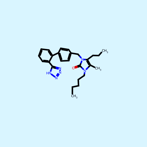 CCCCCn1c(C)c(CCC)n(Cc2ccc(-c3ccccc3-c3nnn[nH]3)cc2)c1=O